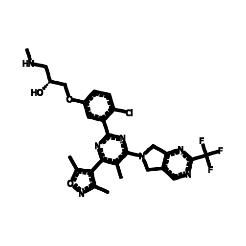 CNC[C@@H](O)COc1ccc(Cl)c(-c2nc(-c3c(C)noc3C)c(C)c(N3Cc4cnc(C(F)(F)F)nc4C3)n2)c1